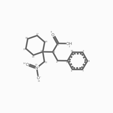 O=C(O)C(Cc1ccccc1)C1(C[N+](=O)[O-])CCCCC1